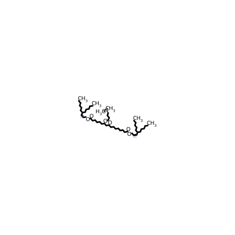 CCCCCCC(/C=C\COC(=O)CCCCCCCC(CCCCCCCC(=O)OC/C=C\C(CCCCCC)CCCCCC)OC(=O)CCCN(C)C)CCCCCC